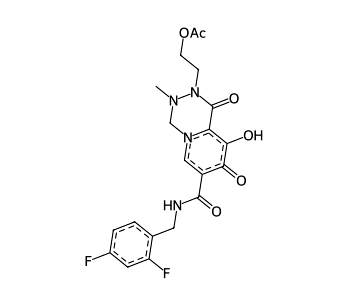 CC(=O)OCCN1C(=O)c2c(O)c(=O)c(C(=O)NCc3ccc(F)cc3F)cn2CN1C